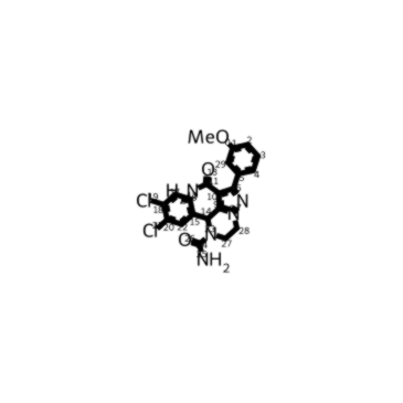 COc1cccc(-c2nn3c(c2C(N)=O)C(c2ccc(Cl)c(Cl)c2)N(C(N)=O)CC3)c1